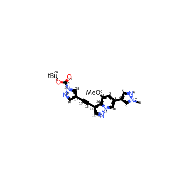 COc1cc(-c2cnn(C)c2)cn2ncc(C#Cc3cnn(C(=O)OC(C)(C)C)c3)c12